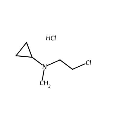 CN(CCCl)C1CC1.Cl